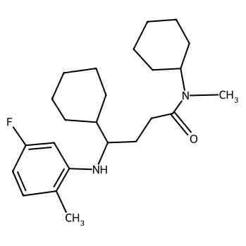 Cc1ccc(F)cc1NC(CCC(=O)N(C)C1CCCCC1)C1CCCCC1